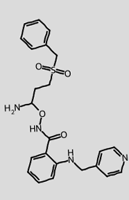 NC(CCS(=O)(=O)Cc1ccccc1)ONC(=O)c1ccccc1NCc1ccncc1